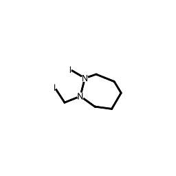 ICN1CCCCCN1I